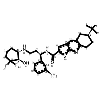 CC(C)(C)[C@H]1CCc2nc3sc(C(=O)N[C@H](CCN[C@H]4CCCC(F)(F)[C@@H]4O)c4cccc(N)c4)cc3cc2C1